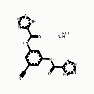 N#Cc1cc(NC(=O)c2nnn[nH]2)cc(NC(=O)c2nnn[nH]2)c1.[NaH].[NaH]